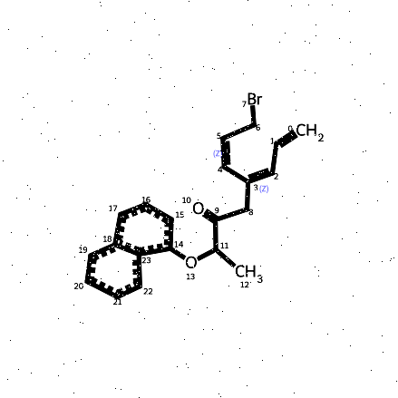 C=C/C=C(\C=C/CBr)CC(=O)C(C)Oc1cccc2ccccc12